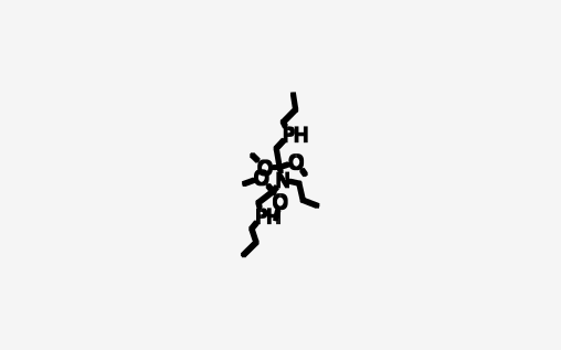 CCCPCC(OC)(OC)N(CCC)C(CPCCC)(OC)OC